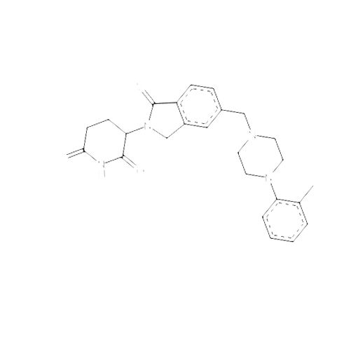 Cc1ccccc1N1CCN(Cc2ccc3c(c2)CN(C2CCC(=O)NC2=O)C3=S)CC1